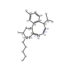 CCCCCNC(C)CN1/C(C)=N\C=C/C(C(C)C)c2ccc(C)cc21